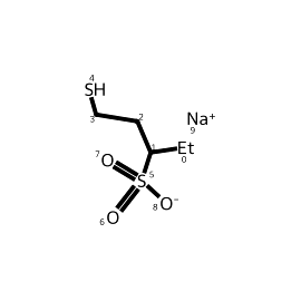 CCC(CCS)S(=O)(=O)[O-].[Na+]